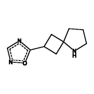 c1noc(C2CC3(CCCN3)C2)n1